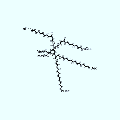 CCCCCCCCCCCCCCCCCCCCCC=COCN(COC=CCCCCCCCCCCCCCCCCCCCCC)c1nc(N(COC)COC)nc(N(COC=CC(C)CCCCCCCCCCCCCCCCCCC)COC=CC(C)CCCCCCCCCCCCCCCCCCC)n1